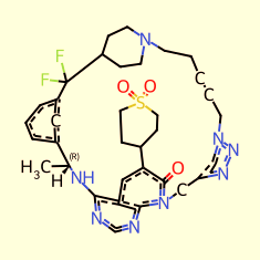 C[C@H]1Nc2ncnc3c2cc(C2CCS(=O)(=O)CC2)c(=O)n3Cc2cn(nn2)CCCCCN2CCC(CC2)C(F)(F)c2cccc1c2